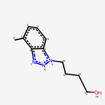 Cc1cccc2c1nnn2CCCCO